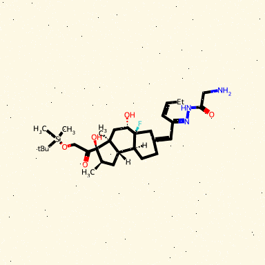 CC\C=C/C(/C=C1/CC[C@H]2[C@@H]3C[C@@H](C)[C@](O)(C(=O)CO[Si](C)(C)C(C)(C)C)[C@@]3(C)C[C@H](O)[C@]2(F)C1)=N\NC(=O)CN